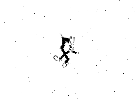 CN1SC=CC1(Cl)C=O